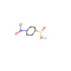 O=[N+]([O-])c1ccc(S(=O)OF)cc1